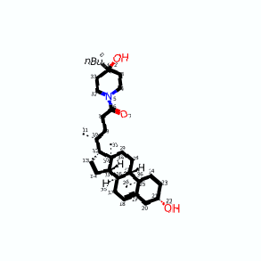 CCCCC1(O)CCN(C(=O)CC[C@@H](C)[C@H]2CC[C@H]3[C@@H]4CC=C5C[C@@H](O)CC[C@]5(C)[C@H]4CC[C@]23C)CC1